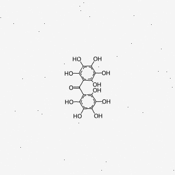 O=C(c1c(O)c(O)c(O)c(O)c1O)c1c(O)c(O)c(O)c(O)c1O